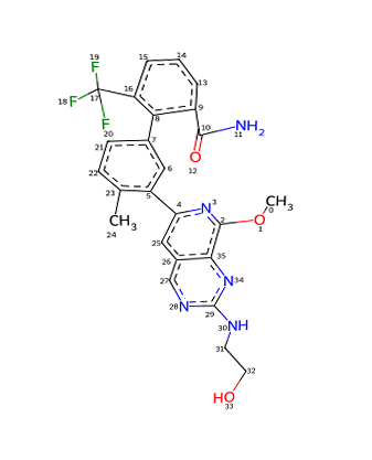 COc1nc(-c2cc(-c3c(C(N)=O)cccc3C(F)(F)F)ccc2C)cc2cnc(NCCO)nc12